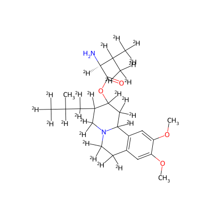 [2H]C([2H])([2H])C([2H])(C)C([2H])([2H])C1([2H])C([2H])([2H])N2C([2H])([2H])C([2H])([2H])c3cc(OC)c(OC)cc3C2([2H])C([2H])([2H])C1([2H])OC(=O)[C@@]([2H])(N)C([2H])(C([2H])([2H])[2H])C([2H])([2H])[2H]